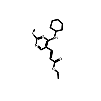 CCOC(=O)/C=C/c1cnc(SC)nc1NC1CCCCC1